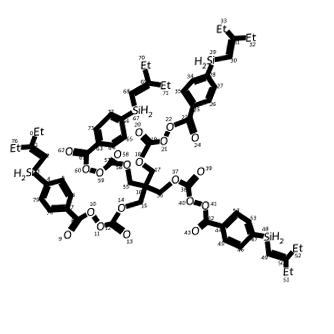 CCC(=C[SiH2]c1ccc(C(=O)OOC(=O)OCC(COC(=O)OOC(=O)c2ccc([SiH2]C=C(CC)CC)cc2)(COC(=O)OOC(=O)c2ccc([SiH2]C=C(CC)CC)cc2)COC(=O)OOC(=O)c2ccc([SiH2]C=C(CC)CC)cc2)cc1)CC